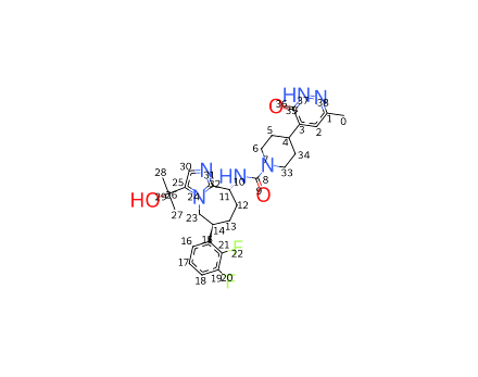 Cc1cc(C2CCN(C(=O)N[C@@H]3CC[C@@H](c4cccc(F)c4F)Cn4c(C(C)(C)O)cnc43)CC2)c(=O)[nH]n1